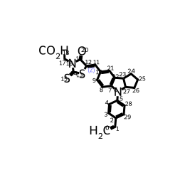 C=Cc1ccc(N2c3ccc(/C=C4\SC(=S)N(CC(=O)O)C4=O)cc3C3CCCC32)cc1